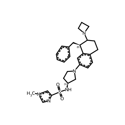 Cn1cnc(S(=O)(=O)N[C@H]2CCN(c3ccc4c(c3)[C@@H](Cc3ccccc3)C(N3CCC3)CC4)C2)c1